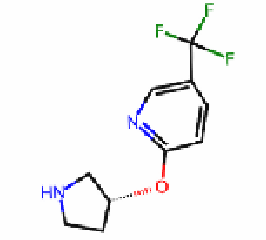 FC(F)(F)c1ccc(O[C@@H]2CCNC2)nc1